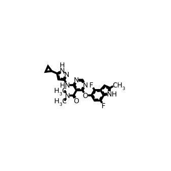 Cc1cc2c(F)c(Oc3ncnc(Nc4cc(C5CC5)[nH]n4)c3C(=O)N(C)C)cc(F)c2[nH]1